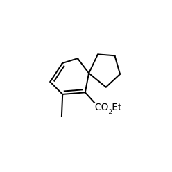 CCOC(=O)C1=C(C)C=CCC12CCCC2